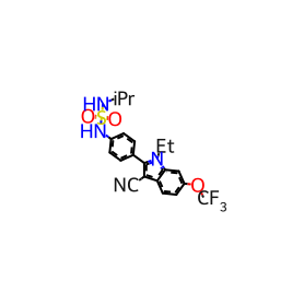 CCn1c(-c2ccc(NS(=O)(=O)NC(C)C)cc2)c(C#N)c2ccc(OC(F)(F)F)cc21